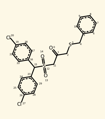 O=C(CSCc1ccccc1)CS(=O)(=O)C(c1ccc(Cl)cc1)c1ccc(Cl)cc1